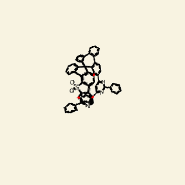 O=S1(=O)c2ccccc2-c2ccc3c(c21)-c1ccccc1C31c2ccccc2-c2ccccc2-c2ccc(-c3cc(-c4cnc(-c5ccccc5)nc4)nc(-c4ccccc4)n3)cc21